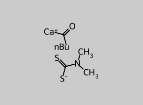 CCCC[C](=O)[Ca+].CN(C)C(=S)[S-]